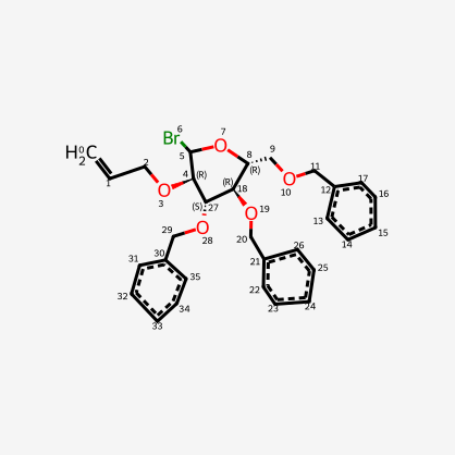 C=CCO[C@H]1C(Br)O[C@H](COCc2ccccc2)[C@@H](OCc2ccccc2)[C@@H]1OCc1ccccc1